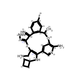 CN/N=C1/C/C(CN)=C(/NC2CCC2)c2cnc(N)c(c2)OC(C)c2cc(F)ccc2C1=N